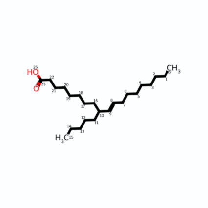 CCCCCCCCC=CC(CCCCC)CCCCCCCC(=O)O